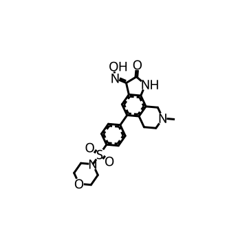 CN1CCc2c(-c3ccc(S(=O)(=O)N4CCOCC4)cc3)cc3c(c2C1)NC(=O)/C3=N\O